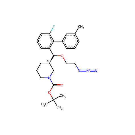 Cc1cccc(-c2c(F)cccc2C(OCCN=[N+]=[N-])[C@@H]2CCCN(C(=O)OC(C)(C)C)C2)c1